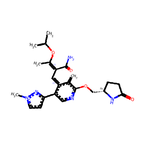 C=c1c(OC[C@@H]2CCC(=O)N2)ncc(-c2ccn(C)n2)/c1=C/C(C(N)=O)=C(\C)OC(C)C